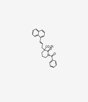 CCOC(=O)C1(CC=Cc2cccc3ccccc23)CCCN(C(=O)c2ccccc2)C1=O